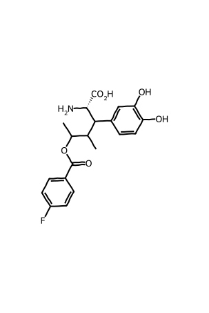 CC(OC(=O)c1ccc(F)cc1)C(C)C(c1ccc(O)c(O)c1)[C@H](N)C(=O)O